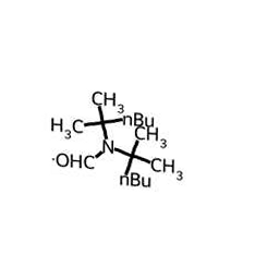 CCCCC(C)(C)N([C]=O)C(C)(C)CCCC